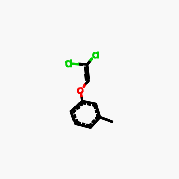 Cc1cccc(OC=C(Cl)Cl)c1